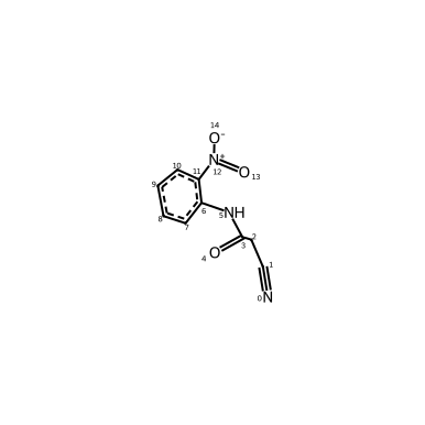 N#CCC(=O)Nc1ccccc1[N+](=O)[O-]